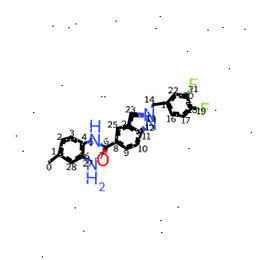 Cc1ccc(NC(=O)c2ccc3nn(Cc4ccc(F)c(F)c4)cc3c2)c(N)c1